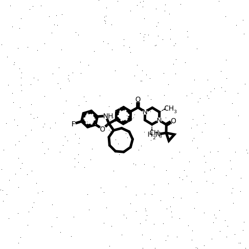 C[C@@H]1CN(C(=O)c2ccc(C3(C4CCCCCCCC4)Nc4ccc(F)cc4O3)cc2)C[C@H](C)N1C(=O)C1(N)CC1